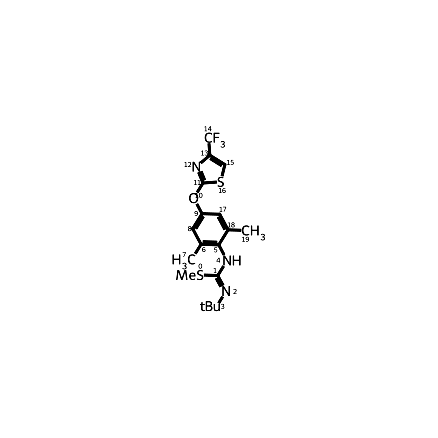 CS/C(=N\C(C)(C)C)Nc1c(C)cc(Oc2nc(C(F)(F)F)cs2)cc1C